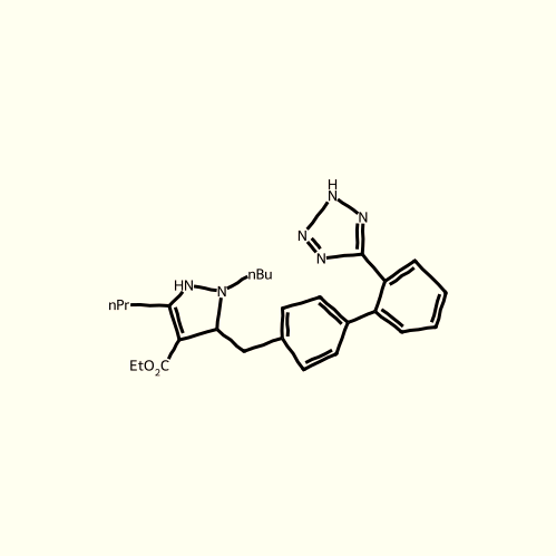 CCCCN1NC(CCC)=C(C(=O)OCC)C1Cc1ccc(-c2ccccc2-c2nn[nH]n2)cc1